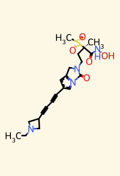 CCN1CC(C#CC#Cc2cc3n(c2)C(=O)N(CC[C@](C)(C(=O)NO)S(C)(=O)=O)C3)C1